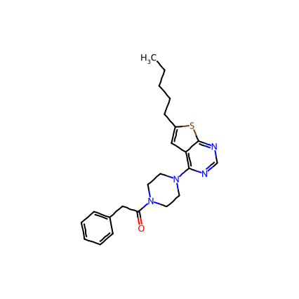 CCCCCc1cc2c(N3CCN(C(=O)Cc4ccccc4)CC3)ncnc2s1